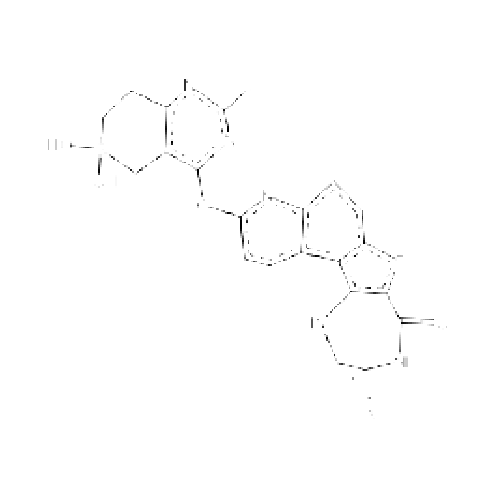 C[C@@H]1CNc2c(sc3ccc4nc(Oc5nc(Cl)nc6c5CS(O)(O)CC6)ccc4c23)C(=O)N1